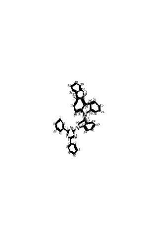 c1ccc(-c2nc(-c3ccccc3)nc(-n3cc(-n4c5ccccc5c5c6oc7ccccc7c6ccc54)c4ccccc43)n2)cc1